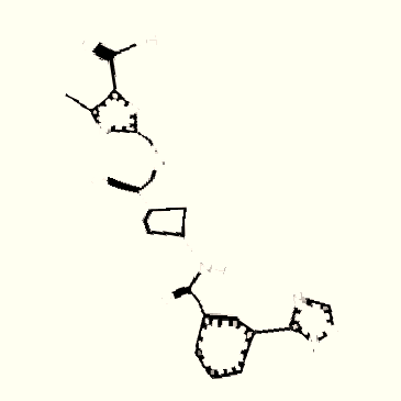 Cc1nc(NC(=O)[C@H]2C[C@@H](NC(=O)c3cccc(-c4ncon4)c3)C2)sc1C(=O)O